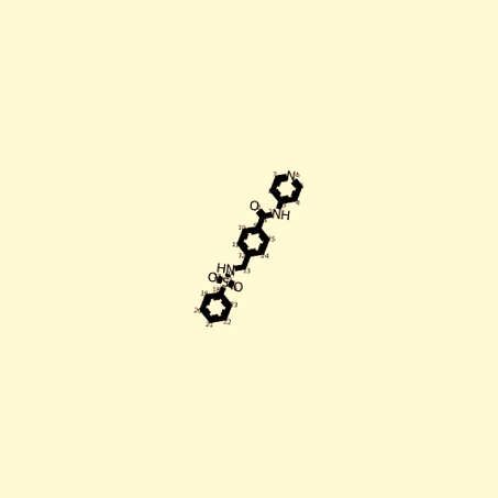 O=C(Nc1ccncc1)c1ccc(CNS(=O)(=O)c2ccccc2)cc1